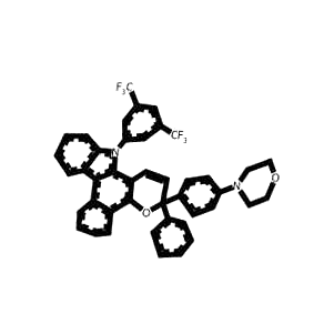 FC(F)(F)c1cc(-n2c3ccccc3c3c4ccccc4c4c(c32)C=CC(c2ccccc2)(c2ccc(N3CCOCC3)cc2)O4)cc(C(F)(F)F)c1